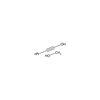 CCCC#CO.CO